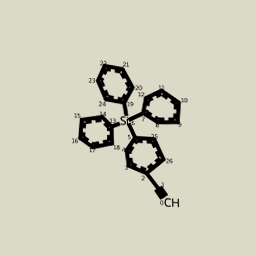 C#Cc1ccc([Si](c2ccccc2)(c2ccccc2)c2ccccc2)cc1